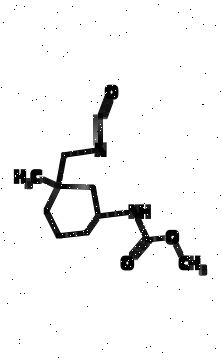 COC(=O)NC1CCCC(C)(CN=C=O)C1